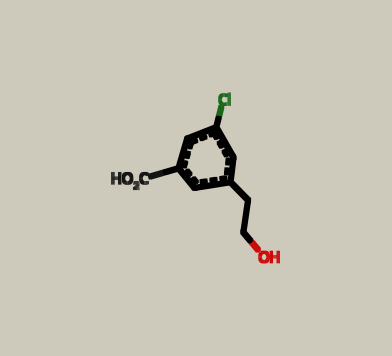 O=C(O)c1cc(Cl)cc(CCO)c1